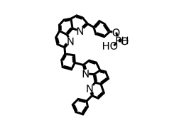 O=[PH](O)Oc1ccc(-c2ccc3ccc4ccc(-c5cccc(-c6ccc7ccc8ccc(-c9ccccc9)nc8c7n6)c5)nc4c3n2)cc1